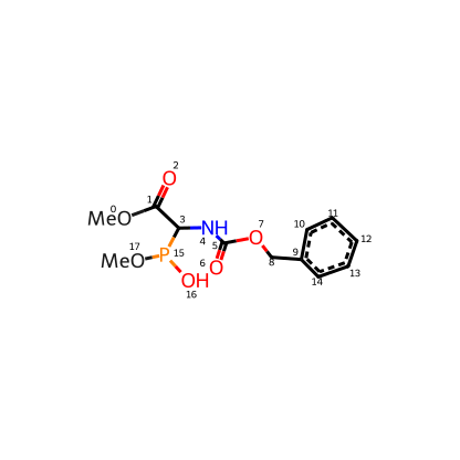 COC(=O)C(NC(=O)OCc1ccccc1)P(O)OC